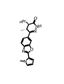 CCC[C@H]1C(=O)NN=C(c2ccc3nc(-c4cccn4C)oc3c2)[C@@H]1C